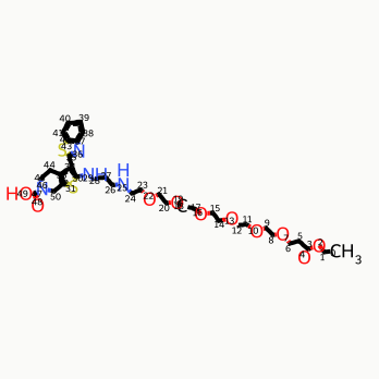 CCOC(=O)CCOCCOCCOCCOCCOCCOCCNCCCNc1sc2c(c1-c1nc3ccccc3s1)CCN(C(=O)O)C2